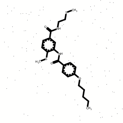 CCCCCOc1ccc(C(=O)Nc2cc(C(=O)NCCSC)ccc2SC)cc1